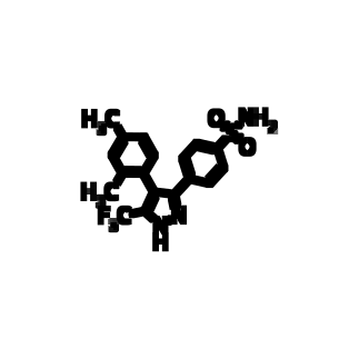 Cc1ccc(-c2c(-c3ccc(S(N)(=O)=O)cc3)n[nH]c2C(F)(F)F)c(C)c1